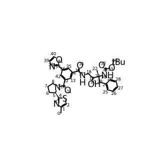 Cc1csc([C@H]2CCCN2C(=O)c2cc(C(=O)NCC(O)[C@@](C)(Cc3ccccc3)NC(=O)OC(C)(C)C)cc(-c3ncco3)c2)n1